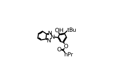 CCCC(=O)Oc1cc(-n2nc3ccccc3n2)c(O)c(C(C)(C)C)c1